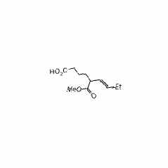 CCC=CC(CCCC(=O)O)C(=O)OC